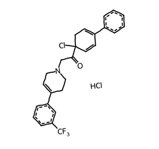 Cl.O=C(CN1CC=C(c2cccc(C(F)(F)F)c2)CC1)C1(Cl)C=CC(c2ccccc2)=CC1